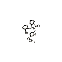 COc1ccc(CN2C(=O)c3ccccc3C2Cc2ncccc2Br)nc1